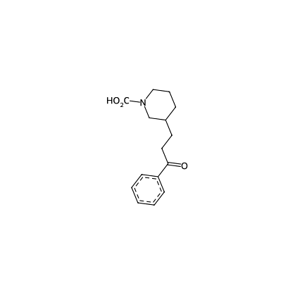 O=C(CCC1CCCN(C(=O)O)C1)c1ccccc1